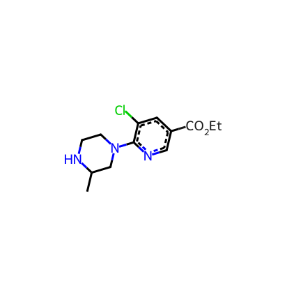 CCOC(=O)c1cnc(N2CCNC(C)C2)c(Cl)c1